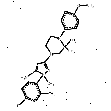 COc1ccc(N2CCN(C3=N[N+](C)(c4ccc(F)cc4C)C(N)=N3)CC2(C)C)cc1